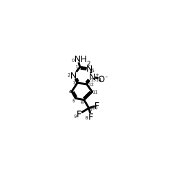 Nc1nc2ccc(C(F)(F)F)cc2[n+]([O-])n1